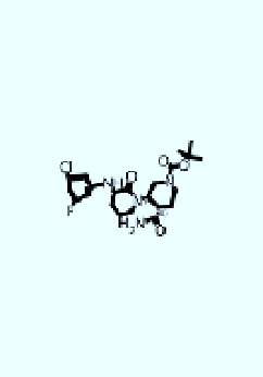 CC(C)(C)OC(=O)N1CC[C@H](C(N)=O)[C@@H](N2CCCC(Nc3cc(F)cc(Cl)c3)C2=O)C1